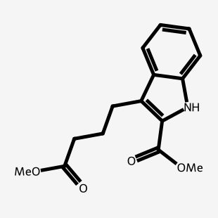 COC(=O)CCCc1c(C(=O)OC)[nH]c2ccccc12